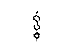 C=C[C@H]1CC[C@H]([C@H]2CC[C@H](c3ccc(F)cc3)CC2)CC1